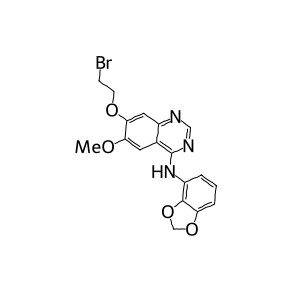 COc1cc2c(Nc3cccc4c3OCO4)ncnc2cc1OCCBr